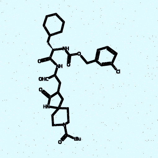 CC(C)(C)C(=O)N1CCC2(CC1)CC(CC(C=O)NC(=O)[C@H](CC1CCCCC1)NC(=O)OCc1cccc(Cl)c1)C(=O)N2